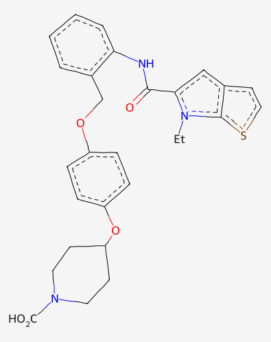 CCn1c(C(=O)Nc2ccccc2COc2ccc(OC3CCN(C(=O)O)CC3)cc2)cc2ccsc21